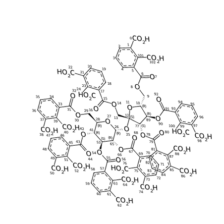 O=C(O)c1cccc(C(=O)OC[C@H]2O[C@@](COC(=O)c3cccc(C(=O)O)c3C(=O)O)(O[C@H]3O[C@H](COC(=O)c4cccc(C(=O)O)c4C(=O)O)[C@@H](OC(=O)c4cccc(C(=O)O)c4C(=O)O)[C@H](OC(=O)c4cccc(C(=O)O)c4C(=O)O)[C@H]3OC(=O)c3cccc(C(=O)O)c3C(=O)O)[C@@H](OC(=O)c3cccc(C(=O)O)c3C(=O)O)[C@@H]2OC(=O)c2cccc(C(=O)O)c2C(=O)O)c1C(=O)O